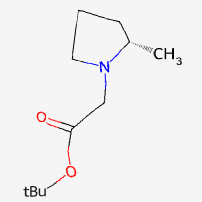 C[C@H]1CCCN1CC(=O)OC(C)(C)C